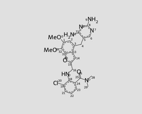 COc1cc(Cc2cnc(N)nc2N)c2cc(CNc3c(Cl)cccc3C(=O)N(C)C)oc2c1OC